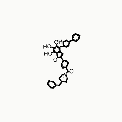 O=C1C(c2ccc(C(=O)N3CCC(Cc4ccccc4)CC3)cc2)=Cc2c1c(O)c(O)c(O)c2-c1ccc(-c2ccccc2)cc1